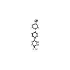 N#Cc1ccc(-c2ccc(-c3ccc(S)cc3)cc2)cc1